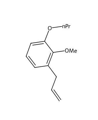 C=CCc1cccc(OCCC)c1OC